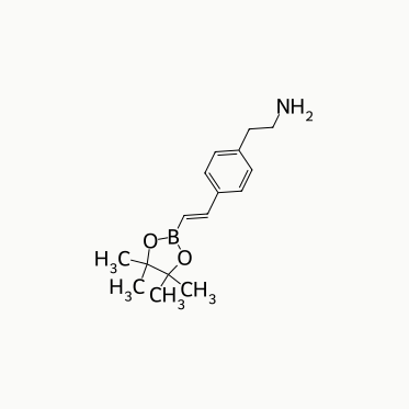 CC1(C)OB(C=Cc2ccc(CCN)cc2)OC1(C)C